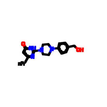 CCCc1cc(=O)[nH]c(N2CCN(c3ccc(CO)cc3)CC2)n1